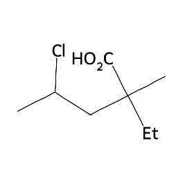 CCC(C)(CC(C)Cl)C(=O)O